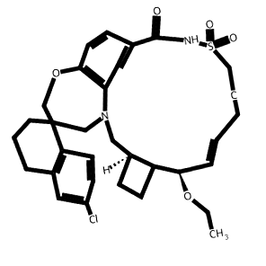 CCO[C@@H]1/C=C/CCCS(=O)(=O)NC(=O)c2ccc3c(c2)N(C[C@@H]2CCC21)CC1(CCCc2cc(Cl)ccc21)CO3